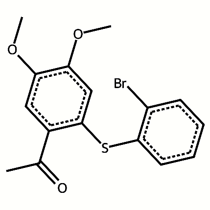 COc1cc(Sc2ccccc2Br)c(C(C)=O)cc1OC